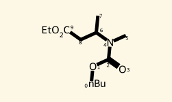 CCCCOC(=O)N(C)C(C)CC(=O)OCC